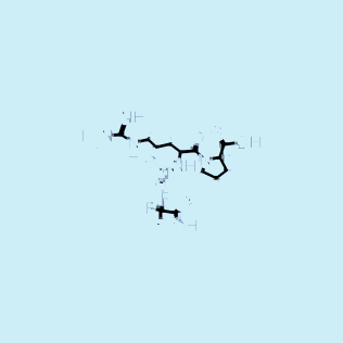 N=C(N)NCCCC(N[N+](=O)[O-])C(=O)N1CCCC1C(=O)O.O=C(O)C(F)(F)F